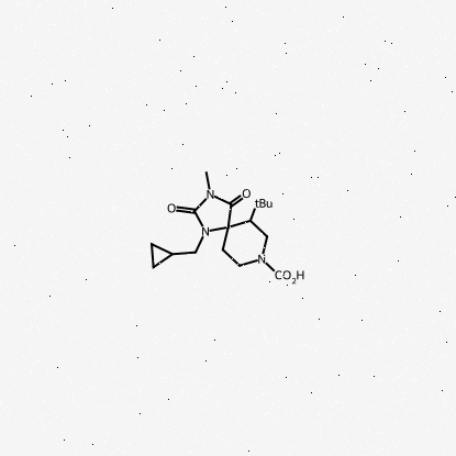 CN1C(=O)N(CC2CC2)C2(CCN(C(=O)O)CC2C(C)(C)C)C1=O